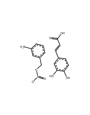 Nc1cccc(CO[N+](=O)[O-])c1.O=C(O)C=Cc1ccc(O)c(O)c1